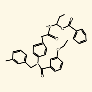 CCOc1cccc(C(=O)N(Cc2cccc(C)c2)c2ccc(CC(=O)NC(CC)OC(=O)c3ccccc3)cc2)c1